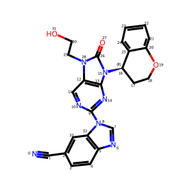 N#Cc1ccc2ncn(-c3ncc4c(n3)n([C@@H]3CCOc5ccccc53)c(=O)n4CCO)c2c1